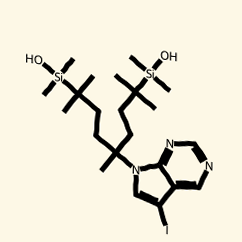 CC(CCC(C)(C)[Si](C)(C)O)(CCC(C)(C)[Si](C)(C)O)n1cc(I)c2cncnc21